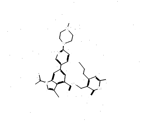 CCCc1cc(C)[nH]c(=O)c1CNC(=O)c1cc(-c2ccc(N3CCN(C)CC3)nc2)cc2c1c(C)cn2C(C)C